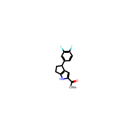 COC(=O)c1cc2c([nH]1)CCC2c1ccc(F)c(F)c1